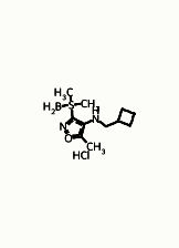 BS(C)(C)c1noc(C)c1NCC1CCC1.Cl